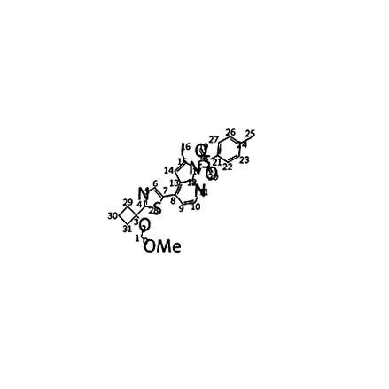 COCOC1(c2ncc(-c3ccnc4c3cc(I)n4S(=O)(=O)c3ccc(C)cc3)s2)CCC1